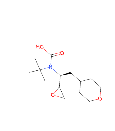 CC(C)(C)N(C(=O)O)[C@@H](CC1CCOCC1)C1CO1